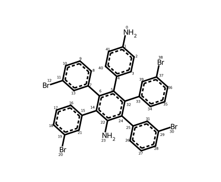 Nc1ccc(-c2c(-c3cccc(Br)c3)c(-c3cccc(Br)c3)c(N)c(-c3cccc(Br)c3)c2-c2cccc(Br)c2)cc1